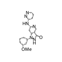 COc1cccc(-n2[nH]c(=O)c3cnc(Nc4cccnn4)cc32)c1